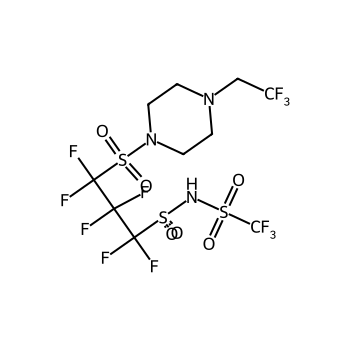 O=S(=O)(NS(=O)(=O)C(F)(F)C(F)(F)C(F)(F)S(=O)(=O)N1CCN(CC(F)(F)F)CC1)C(F)(F)F